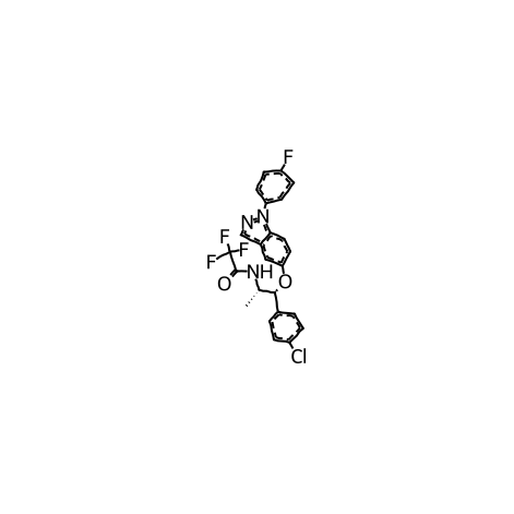 C[C@H](NC(=O)C(F)(F)F)[C@H](Oc1ccc2c(cnn2-c2ccc(F)cc2)c1)c1ccc(Cl)cc1